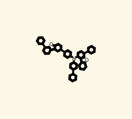 c1ccc(-c2ccc(N(c3ccc(-c4ccc5oc6c(-c7ccccc7)cccc6c5c4)cc3)c3ccc(-c4ccccc4)c4oc5ccccc5c34)cc2)cc1